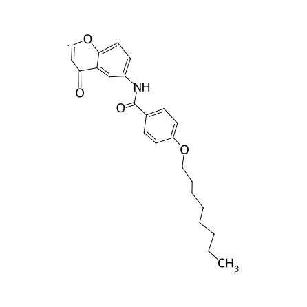 CCCCCCCCOc1ccc(C(=O)Nc2ccc3o[c]cc(=O)c3c2)cc1